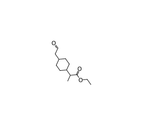 CCOC(=O)C(C)C1CCC(CC=O)CC1